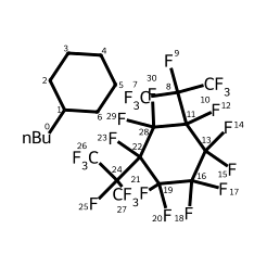 CCCCC1CCCCC1.FC(F)(F)C(F)(C(F)(F)F)C1(F)C(F)(F)C(F)(F)C(F)(F)C(F)(C(F)(C(F)(F)F)C(F)(F)F)C1(F)F